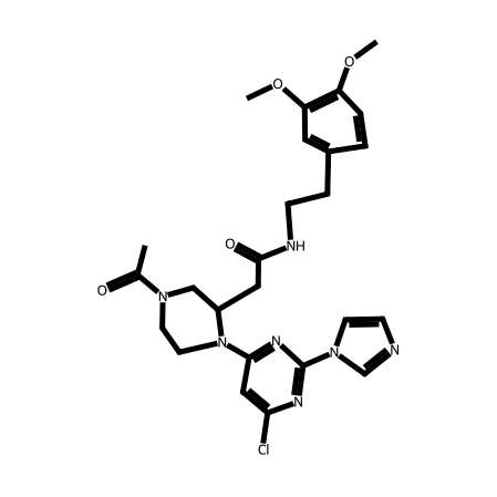 COc1ccc(CCNC(=O)CC2CN(C(C)=O)CCN2c2cc(Cl)nc(-n3ccnc3)n2)cc1OC